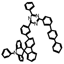 c1ccc(-c2ccc(-c3cccc(-c4nc(-c5ccccc5)nc(-c5cccc(-c6ccc7c(c6)C6(c8ccccc8-7)c7ccccc7N(c7ccccc7)c7ccccc76)c5)n4)c3)cc2)cc1